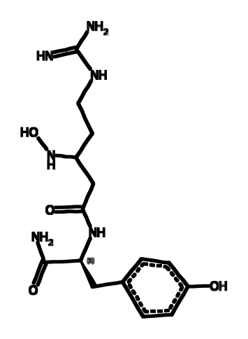 N=C(N)NCCC(CC(=O)N[C@@H](Cc1ccc(O)cc1)C(N)=O)NO